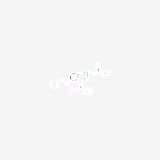 O=C(O)C(F)(F)F.O=C(O)CCNCc1ccc(OCC2CCCC2)cc1